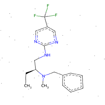 CC[C@@H](CNc1ncc(C(F)(F)F)cn1)N(C)Cc1ccccc1